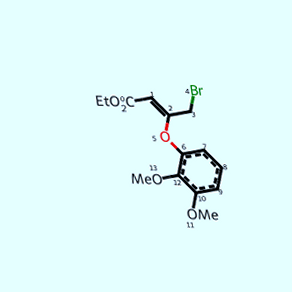 CCOC(=O)/C=C(/CBr)Oc1cccc(OC)c1OC